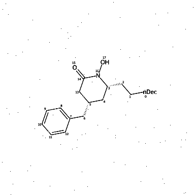 CCCCCCCCCCCC[C@@H]1C[C@H](Cc2ccccc2)CC(=O)N1O